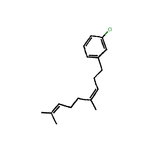 CC(C)=CCCC(C)=CCCc1cccc(Cl)c1